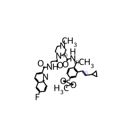 C[C@H](NC(=O)[C@@H]1CN(C)CCN1C(=O)CNC(=O)c1ccc2cc(F)ccc2n1)c1ccc(S(C)(=O)=O)cc1/C=C/C1CC1